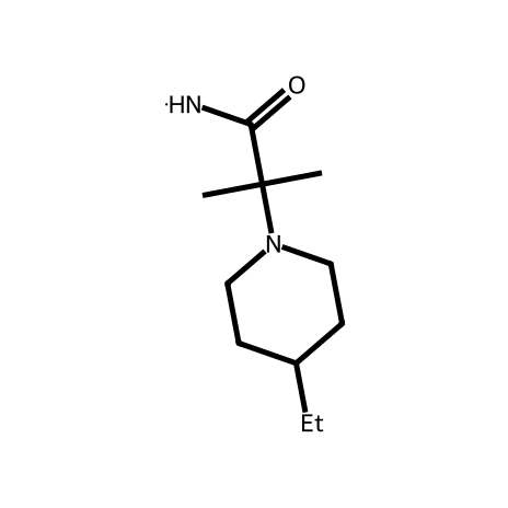 CCC1CCN(C(C)(C)C([NH])=O)CC1